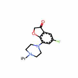 CC(C)N1CCN(c2cc(F)cc3c2OCC3=O)CC1